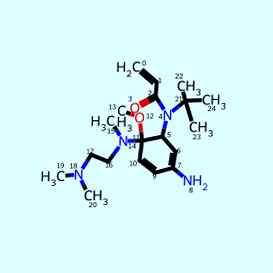 C=CC(=O)N(C1C=C(N)C=CC1(OC)N(C)CCN(C)C)C(C)(C)C